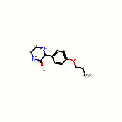 COCCOc1ccc(C2NCCNC2=O)cc1